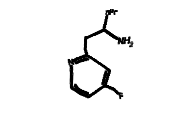 CCCC(N)Cc1cc(F)ccn1